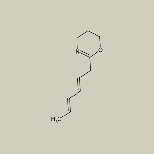 CC=CC=CCC1=NCCCO1